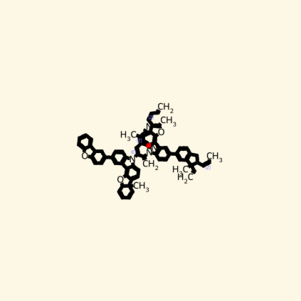 C=C/C=C\c1c(C)oc2c1ccc1c2c2cc(-c3ccc4c(c3)C(C)(C=C)C(/C=C\C)C4)ccc2n1C(=C)/C(=C\C(C#N)=C(/C)C#N)n1c2ccc(C3=CC=C4Oc5ccccc5C4C3)cc2c2c3c(ccc21)C1(C)C=CC=CC1O3